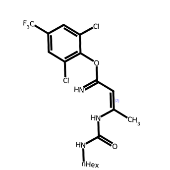 CCCCCCNC(=O)N/C(C)=C\C(=N)Oc1c(Cl)cc(C(F)(F)F)cc1Cl